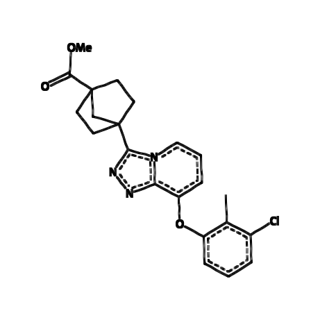 COC(=O)C12CCC(c3nnc4c(Oc5cccc(Cl)c5C)cccn34)(CC1)C2